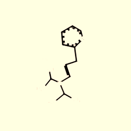 CC(C)P(C=CCc1ccccn1)C(C)C.[Pd]